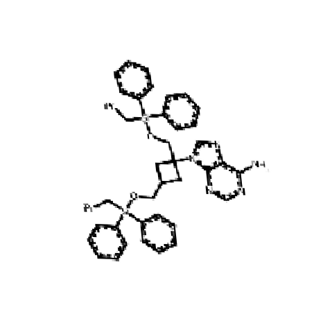 CC(C)C[Si](OCC1CC(CO[Si](CC(C)C)(c2ccccc2)c2ccccc2)(n2cnc3c(N)ncnc32)C1)(c1ccccc1)c1ccccc1